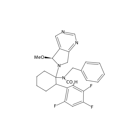 CO[C@H]1c2cncnc2CN1C1(N(Cc2ccccc2)C(=O)O)CCCCC1c1cc(F)c(F)cc1F